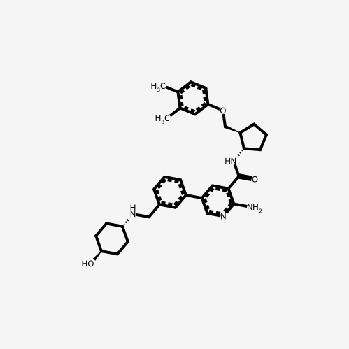 Cc1ccc(OC[C@H]2CCC[C@@H]2NC(=O)c2cc(-c3cccc(CN[C@H]4CC[C@H](O)CC4)c3)cnc2N)cc1C